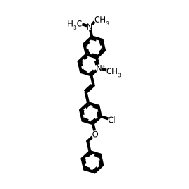 CN(C)c1ccc2c(ccc(/C=C/c3ccc(OCc4ccccc4)c(Cl)c3)[n+]2C)c1